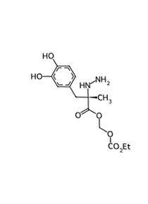 CCOC(=O)OCOC(=O)[C@](C)(Cc1ccc(O)c(O)c1)NN